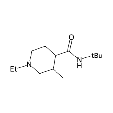 CCN1CCC(C(=O)NC(C)(C)C)C(C)C1